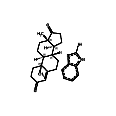 C[C@]12CCC(=O)C=C1CC[C@@H]1[C@@H]2CC[C@]2(C)C(=O)CC[C@@H]12.Sc1nc2ccccc2[nH]1